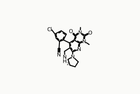 Cn1c(=O)c2c(-c3ccc(Cl)cc3C#N)c(CN)c(N3CCCC3)nc2n(C)c1=O